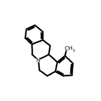 Cc1cccc2c1C1Cc3ccccc3CN1CC2